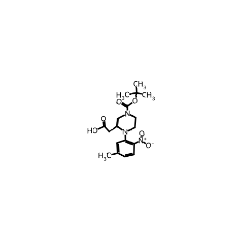 Cc1ccc([N+](=O)[O-])c(N2CCN(C(=O)OC(C)(C)C)CC2CC(=O)O)c1